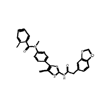 Cc1ccccc1C(=O)N(C)c1ccc(-c2nc(NC(=O)Cc3ccc4c(c3)OCO4)sc2C)cc1